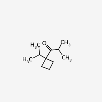 CC(C)C(=O)C1(C(C)C)CCC1